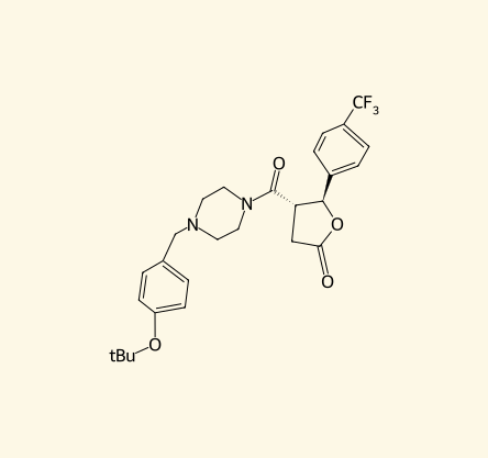 CC(C)(C)Oc1ccc(CN2CCN(C(=O)[C@H]3CC(=O)O[C@@H]3c3ccc(C(F)(F)F)cc3)CC2)cc1